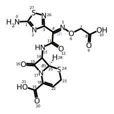 Nc1nc(/C(=N/OCC(=O)O)C(=O)NC2C(=O)N3C(C(=O)O)=CCS[C@H]23)ns1